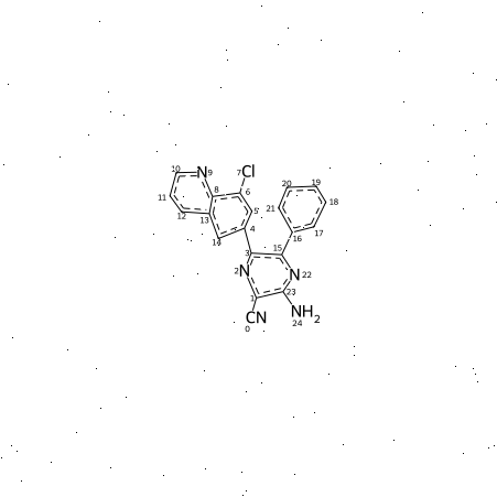 N#Cc1nc(-c2cc(Cl)c3ncccc3c2)c(-c2ccccc2)nc1N